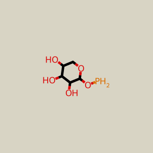 OC1COC(OP)C(O)C1O